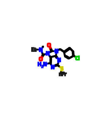 CCCSc1nc(N)c2c(n1)n(Cc1ccc(Cl)cc1)c(=O)n2C(=O)N(C)CC